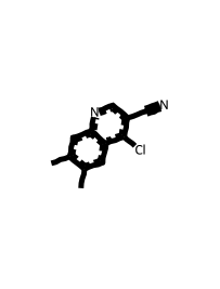 Cc1cc2ncc(C#N)c(Cl)c2cc1C